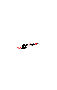 COC/C=C/C(=O)OCc1ccc(CO)cc1